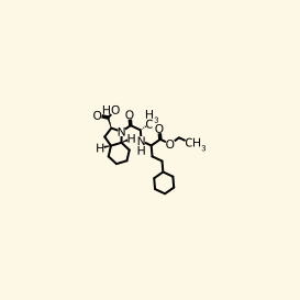 CCOC(=O)C(CCC1CCCCC1)N[C@@H](C)C(=O)N1[C@@H]2CCCC[C@@H]2C[C@H]1C(=O)O